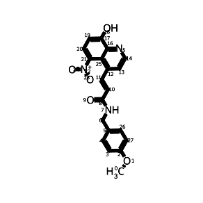 COc1ccc(CNC(=O)/C=C/c2ccnc3c(O)ccc([N+](=O)[O-])c23)cc1